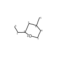 CCC1CC(C)CCO1